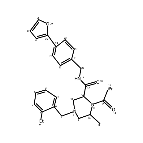 CCc1ccccc1CN1CC(C)N(C(=O)C(C)C)C(C(=O)NCc2ccc(-c3ccco3)cc2)C1